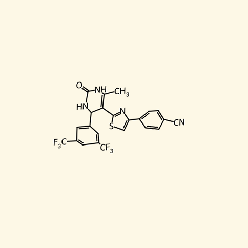 CC1=C(c2nc(-c3ccc(C#N)cc3)cs2)C(c2cc(C(F)(F)F)cc(C(F)(F)F)c2)NC(=O)N1